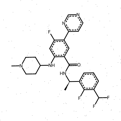 C[C@@H](NC(=O)c1cc(-c2ccncn2)c(F)cc1NC1CCN(C)CC1)c1cccc(C(F)F)c1F